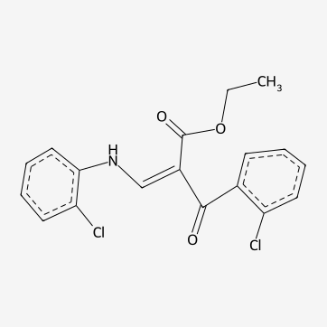 CCOC(=O)C(=CNc1ccccc1Cl)C(=O)c1ccccc1Cl